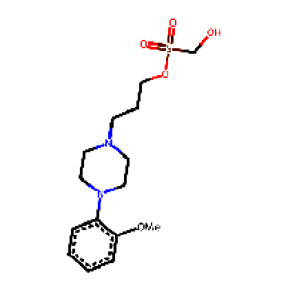 COc1ccccc1N1CCN(CCCOS(=O)(=O)CO)CC1